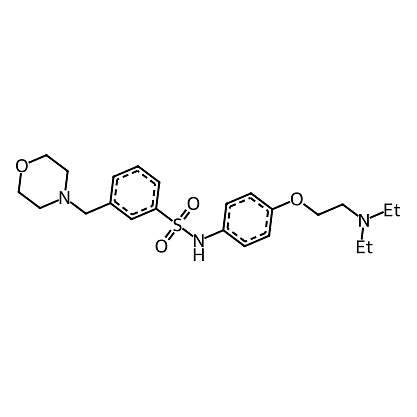 CCN(CC)CCOc1ccc(NS(=O)(=O)c2cccc(CN3CCOCC3)c2)cc1